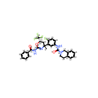 C[C@]1(c2cc(NC(=O)N3CCc4ccccc4C3)ccc2F)C[C@@H](C(F)(F)F)OC(NC(=O)c2ccccc2)=N1